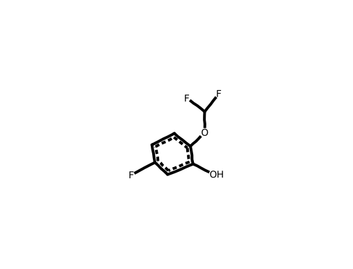 Oc1cc(F)ccc1OC(F)F